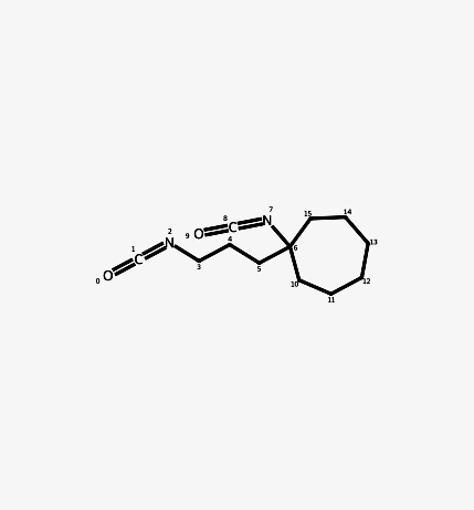 O=C=NCCCC1(N=C=O)CCCCCC1